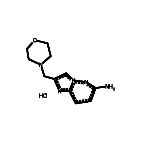 Cl.Nc1ccc2nc(CN3CCOCC3)cn2n1